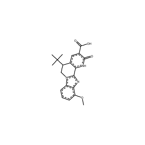 COc1cccc2c1nc1n2CC(C(C)(C)C)c2cc(C(=O)O)c(=O)[nH]c2-1